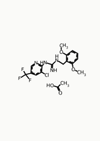 CC(=O)O.COc1cccc(OC)c1CNC(=N)Nc1ncc(C(F)(F)F)cc1Cl